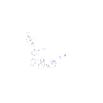 COc1nc(-c2ccnc(-c3cccc(NC(=O)c4nc5c(n4C)CCN(C[C@H]4CCO4)C5)c3Cl)c2Cl)ccc1CNC[C@@H]1CCC(=O)N1